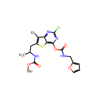 CCc1c(CC(C)NC(=O)OC(C)(C)C)sc2c(OC(=O)NCc3ccco3)nc(Cl)nc12